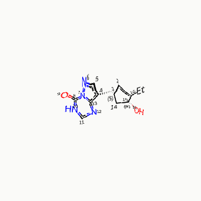 CCC1=C[C@@H](c2cnn3c(=O)[nH]cnc23)C[C@H]1O